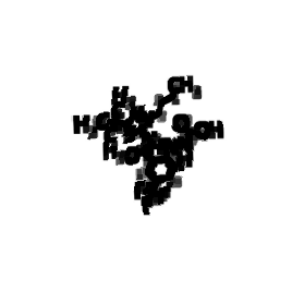 CCCCn1nc(C(C)(C)C)sc1=NC(=O)c1cc(C(F)(F)F)ccc1NNC(=O)O